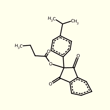 CCCC(=O)OC1(c2[c]cc(C(C)C)cc2)C(=O)c2ccccc2C1=O